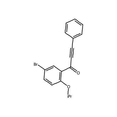 CC(C)Oc1ccc(Br)cc1C(=O)C#Cc1ccccc1